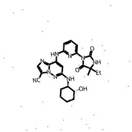 CCC1(C)NC(=O)N(c2cccc(Nc3cc(N[C@@H]4CCCC[C@H]4O)nn4c(C#N)cnc34)n2)C1=O